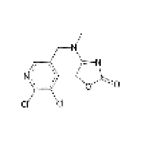 CN(Cc1cnc(Cl)c(Cl)c1)C1=NC(=O)OC1